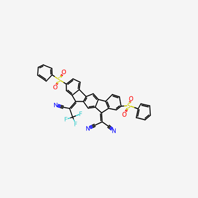 N#CC(C#N)=C1c2cc(S(=O)(=O)c3ccccc3)ccc2-c2cc3c(cc21)/C(=C(/C#N)C(F)(F)F)c1cc(S(=O)(=O)c2ccccc2)ccc1-3